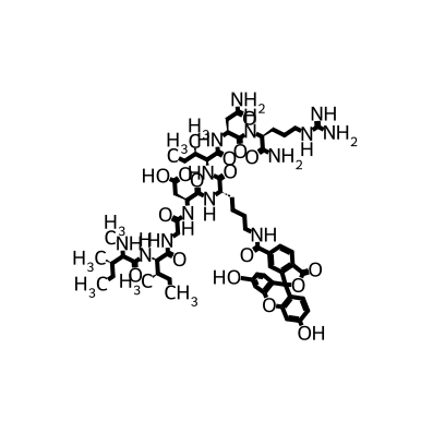 CC[C@H](C)C(NC)C(=O)N[C@H](C(=O)NCC(=O)N[C@@H](CC(=O)O)C(=O)N[C@@H](CCCCNC(=O)c1ccc2c(c1)C1(OC2=O)c2ccc(O)cc2Oc2cc(O)ccc21)C(=O)N[C@H](C(=O)N[C@@H](CC(N)=O)C(=O)N[C@@H](CCCNC(=N)N)C(N)=O)[C@@H](C)CC)[C@@H](C)CC